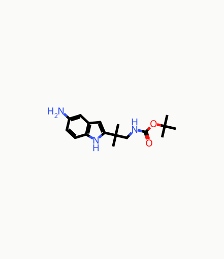 CC(C)(C)OC(=O)NCC(C)(C)c1cc2cc(N)ccc2[nH]1